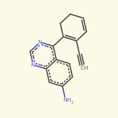 C#CC1=C(c2ncnc3cc(N)ccc23)[CH]CC=C1